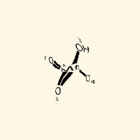 [O]=[Mn](=[O])([OH])[Cl]